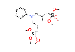 CO[Si](CCCN(CC(C)C[Si](OC)(OC)OC)c1ccccc1)(OC)OC